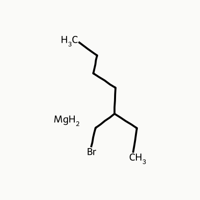 CCCCC(CC)CBr.[MgH2]